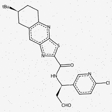 CC(C)(C)[C@H]1CCc2nc3sc(C(=O)N[C@H](CC=O)c4ccc(Cl)nc4)nc3cc2C1